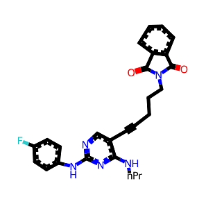 CCCNc1nc(Nc2ccc(F)cc2)ncc1C#CCCCN1C(=O)c2ccccc2C1=O